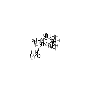 [2H]c1c(OC([2H])([2H])[2H])c(OC([2H])([2H])[2H])c([2H])c2c(N)nc(N(CCCNC(=O)C3CCCO3)C([2H])([2H])[2H])nc12